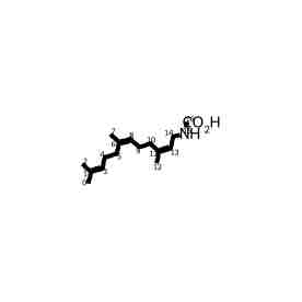 CC(C)=CCCC(C)=CCCC(C)=CCNC(=O)O